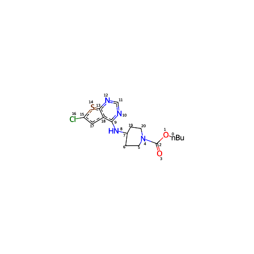 CCCCOC(=O)N1CCC(Nc2ncnc3sc(Cl)cc23)CC1